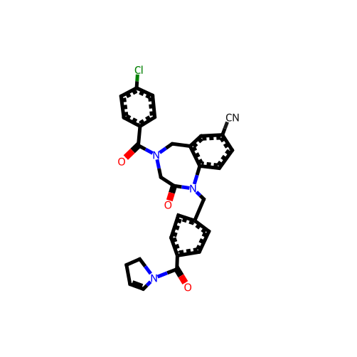 N#Cc1ccc2c(c1)CN(C(=O)c1ccc(Cl)cc1)CC(=O)N2Cc1ccc(C(=O)N2C=CCC2)cc1